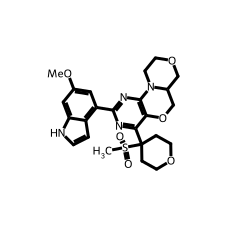 COc1cc(-c2nc3c(c(C4(S(C)(=O)=O)CCOCC4)n2)OCC2COCCN32)c2cc[nH]c2c1